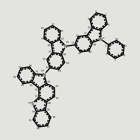 c1ccc(-n2c3ccccc3c3cc(-n4c5ccccc5c5cc(-n6c7ccccc7c7c8sc9ccccc9c8ccc76)ccc54)ccc32)cc1